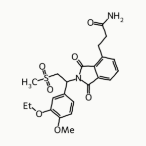 CCOc1cc(C(CS(C)(=O)=O)N2C(=O)c3cccc(CCC(N)=O)c3C2=O)ccc1OC